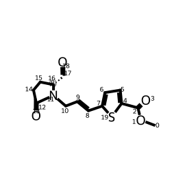 COC(=O)c1ccc(C=CCN2C(=O)CC[C@@H]2C=O)s1